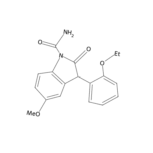 CCOc1ccccc1[C]1C(=O)N(C(N)=O)c2ccc(OC)cc21